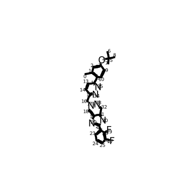 Cc1cc(OC(C)(C)C)ccc1-c1ccc(Cn2cc3nc(-c4cccc(F)c4F)nc-3cn2)nn1